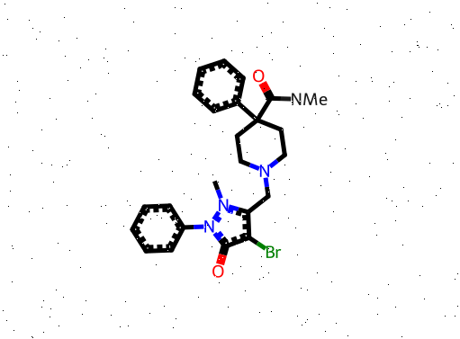 CNC(=O)C1(c2ccccc2)CCN(Cc2c(Br)c(=O)n(-c3ccccc3)n2C)CC1